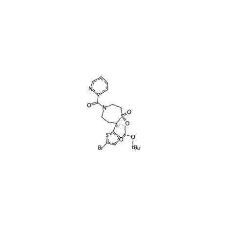 CC(C)(C)OC(=O)C[C@]1(c2ccc(Br)s2)CCN(C(=O)c2ccccn2)CCS1(=O)=O